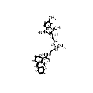 Cc1ccc2c(c1)N(O)C(NCCCN(C)CCCNC(=O)c1cccc3cc4ccccc4nc13)=NN2O